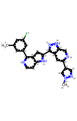 Cc1cc(F)cc(-c2nccc3[nH]c(-c4n[nH]c5cnc(-c6cnn(C)c6)cc45)cc23)c1